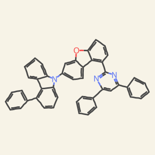 c1ccc(-c2cc(-c3ccccc3)nc(-c3cccc4oc5cc(-n6c7ccccc7c7c(-c8ccccc8)cccc76)ccc5c34)n2)cc1